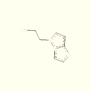 NCCn1ccc2nccn21